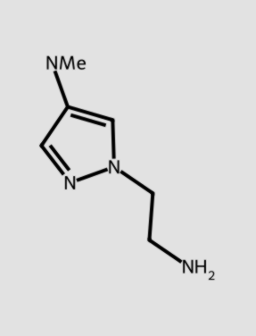 CNc1cnn(CCN)c1